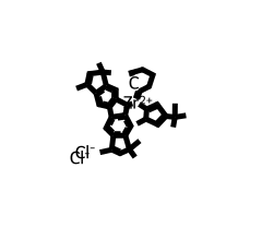 CC1=CC(C)(C)c2cc3c(cc21)-c1cc2c(cc1[CH]3[Zr+2]([C]1=CC(C(C)(C)C)=CC1C)=[C]1CCCCC1)C(C)(C)C=C2C.[Cl-].[Cl-]